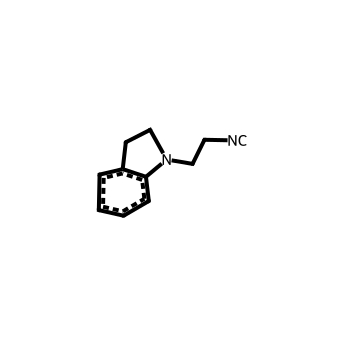 [C-]#[N+]CCN1CCc2ccccc21